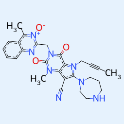 CC#CCn1c(N2CCCNCC2)c(C#N)c2c1c(=O)n(Cc1nc3ccccc3c(C)[n+]1[O-])c(=O)n2C